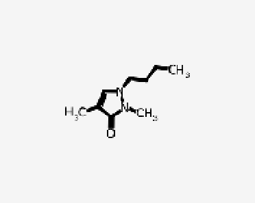 CCCCn1cc(C)c(=O)n1C